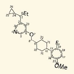 CCC(c1cncc(OCC2CCC(c3cc(OC)ccc3F)CC2)c1)C1CC1